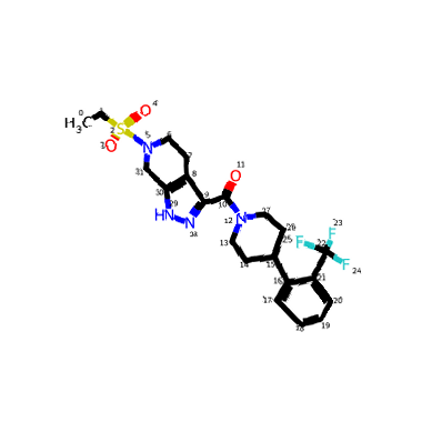 CCS(=O)(=O)N1CCc2c(C(=O)N3CCC(c4ccccc4C(F)(F)F)CC3)n[nH]c2C1